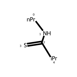 CCCNC(=S)C(C)C